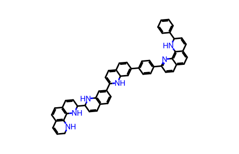 C1=Cc2ccc3c(c2NC1)NC(C1C=Cc2ccc(C4=CC=C5C=CC(c6ccc(-c7ccc8ccc9c(c8n7)NC(c7ccccc7)C=C9)cc6)=CC5N4)cc2N1)C=C3